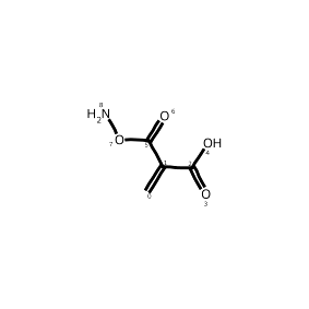 C=C(C(=O)O)C(=O)ON